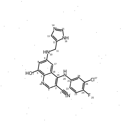 N#Cc1cnc2c(O)cc(NCc3cnc[nH]3)cc2c1Nc1ccc(F)c(Cl)c1